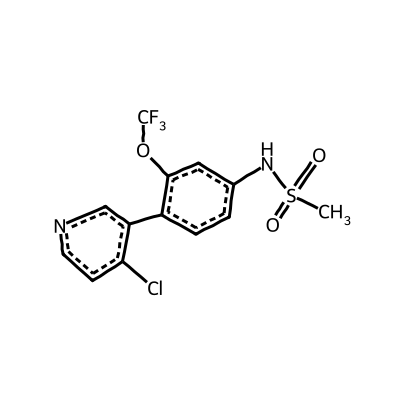 CS(=O)(=O)Nc1ccc(-c2cnccc2Cl)c(OC(F)(F)F)c1